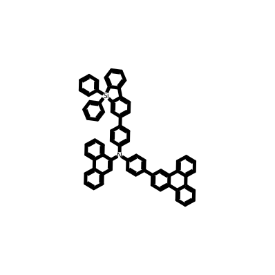 c1ccc([Si]2(c3ccccc3)c3ccccc3-c3ccc(-c4ccc(N(c5ccc(-c6ccc7c8ccccc8c8ccccc8c7c6)cc5)c5cc6ccccc6c6ccccc56)cc4)cc32)cc1